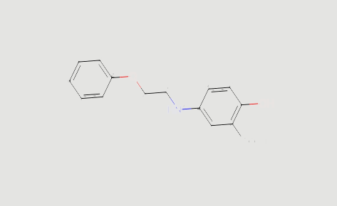 O=C(O)c1cc(NCCOc2ccccc2)ccc1O